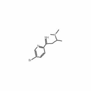 CC(CC(=N)c1ccc(Br)cn1)N(C)C